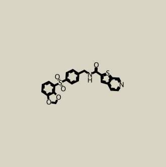 O=C(NCc1ccc(S(=O)(=O)c2cccc3c2OCO3)cc1)c1cc2ccncc2s1